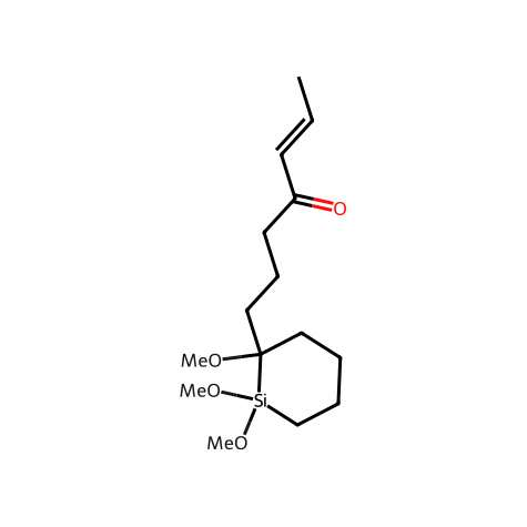 CC=CC(=O)CCCC1(OC)CCCC[Si]1(OC)OC